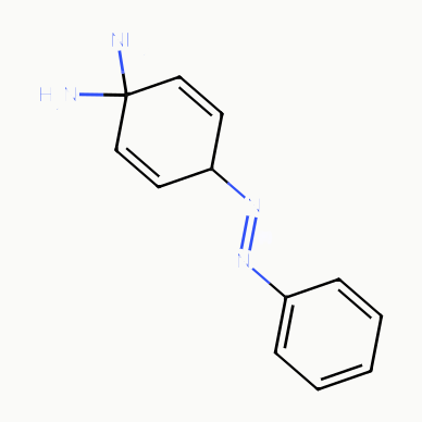 NC1(N)C=CC(/N=N/c2ccccc2)C=C1